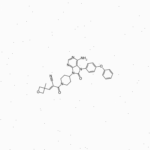 CC1(/C=C(\C#N)C(=O)N2CCC(n3c(=O)n(-c4ccc(Oc5ccccc5)cc4)c4c(N)ncnc43)CC2)COC1